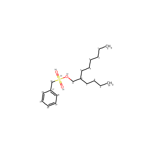 CCCCCCC(CCCC)COS(=O)(=O)Cc1ccccc1